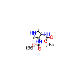 CC(C)(C)OC(=O)NC1CNCC1NC(=O)OC(C)(C)C